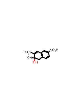 O=NC1(O)Cc2ccc(S(=O)(=O)O)cc2C=C1S(=O)(=O)O